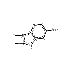 [2H]c1cnc2c(c1)nc1n2CC1